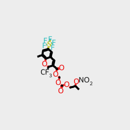 Cc1cc(S(F)(F)(F)(F)F)cc2c1OC(C(F)(F)F)C(C(=O)OCOC(=O)OCC(C)O[N+](=O)[O-])=C2